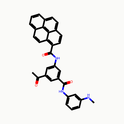 CNc1cccc(NC(=O)c2cc(NC(=O)c3ccc4ccc5cccc6ccc3c4c56)cc(C(C)=O)c2)c1